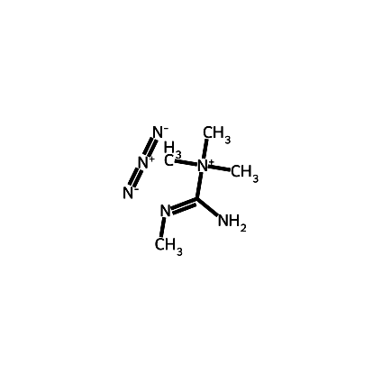 C/N=C(\N)[N+](C)(C)C.[N-]=[N+]=[N-]